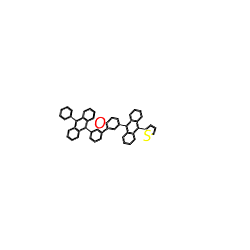 c1ccc(-c2c3ccccc3c(-c3cccc4c3oc3ccc(-c5c6ccccc6c(-c6cccs6)c6ccccc56)cc34)c3ccccc23)cc1